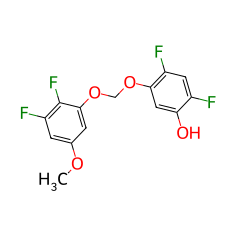 COc1cc(F)c(F)c(OCOc2cc(O)c(F)cc2F)c1